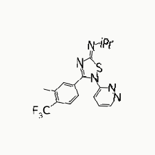 Cc1cc(-c2nc(=NC(C)C)sn2-c2cccnn2)ccc1C(F)(F)F